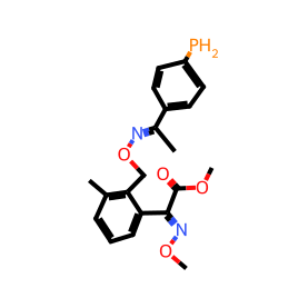 CO/N=C(/C(=O)OC)c1cccc(C)c1CO/N=C(\C)c1ccc(P)cc1